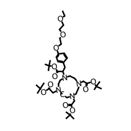 CCOCCOCCOc1ccc(CC(C(=O)OC(C)(C)C)N2CCN(CC(=O)OC(C)(C)C)CCN(CC(=O)OC(C)(C)C)CCN(CC(=O)OC(C)(C)C)CC2)cc1